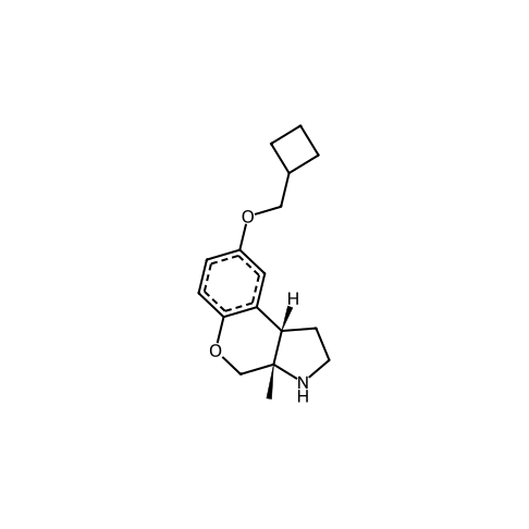 C[C@@]12COc3ccc(OCC4CCC4)cc3[C@@H]1CCN2